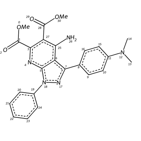 COC(=O)c1nc2c(c(-c3ccc(N(C)C)cc3)nn2-c2ccccc2)c(N)c1C(=O)OC